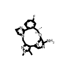 Cc1c2c(nn1C)Cn1ccnc1-c1ccc(F)cc1[C@H](C)Oc1nc-2cnc1N